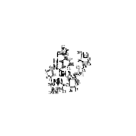 O=C(Nc1cccc(-c2ccnc3cc(-c4ccnc([AsH]CCCN5CCOCC5)c4)nn23)c1)c1cccc(C(F)(F)F)c1